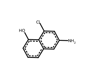 Nc1cc(Cl)c2c(O)cccc2c1